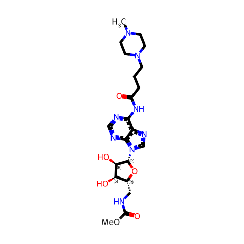 COC(=O)NC[C@H]1O[C@@H](n2cnc3c(NC(=O)CCCN4CCN(C)CC4)ncnc32)[C@H](O)[C@@H]1O